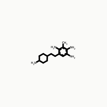 Cc1c(N)c(N)cc(CCC2CCC(N)CC2)c1N